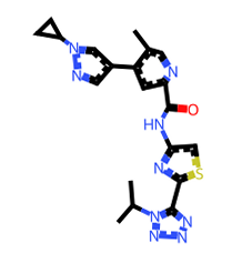 Cc1cnc(C(=O)Nc2csc(-c3nnnn3C(C)C)n2)cc1-c1cnn(C2CC2)c1